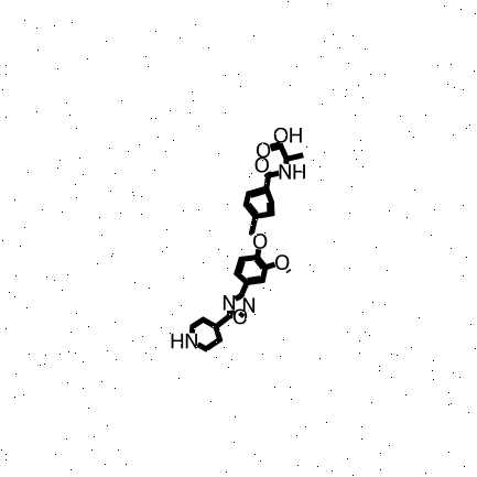 COc1cc(-c2noc(C3CCNCC3)n2)ccc1OCc1ccc(C(=O)NC(C)C(=O)O)cc1